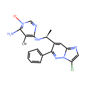 C[C@H](Nc1nc[n+]([O-])c(N)c1C#N)c1cc2ncc(Cl)n2nc1-c1ccccc1